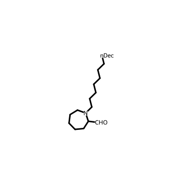 CCCCCCCCCCCCCCCCCN1CCCCCC1C=O